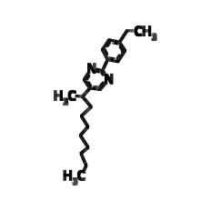 CCCCCCCCC(C)c1cnc(-c2ccc(CC)cc2)nc1